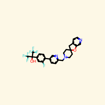 OC(c1ccc(-c2ccc(CN3CCC4(CC3)Cc3ccncc3O4)nc2)c(F)c1)(C(F)(F)F)C(F)(F)F